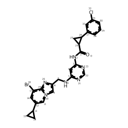 O=C(Nc1cc(NCc2cn3cc(C4CC4)cc(Br)c3n2)ncn1)C1CC1c1cccc(Cl)c1